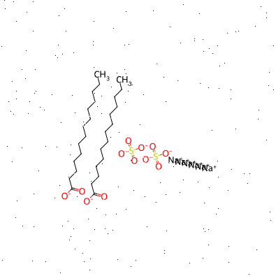 CCCCCCCCCCCCCC(=O)[O-].CCCCCCCCCCCCCC(=O)[O-].O=S(=O)([O-])[O-].O=S(=O)([O-])[O-].[Na+].[Na+].[Na+].[Na+].[Na+].[Na+]